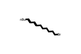 CCCCC=CC=CCCCCCCBr